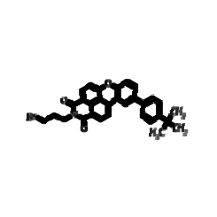 CC(C)(C)c1ccc(-c2ccc3oc4ccc5c(=O)n(CCCBr)c(=O)c6ccc(c3c2)c4c56)cc1